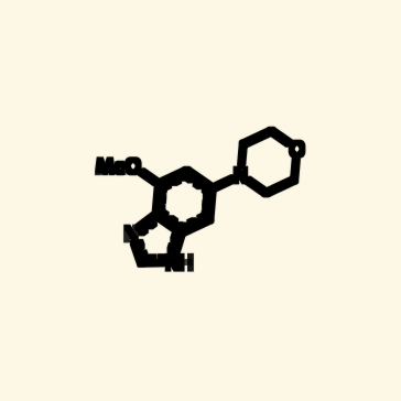 COc1cc(N2CCOCC2)cc2[nH]cnc12